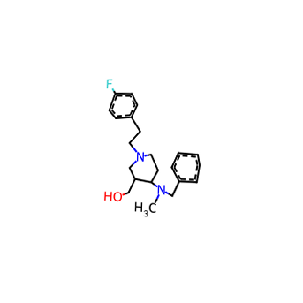 CN(Cc1ccccc1)C1CCN(CCc2ccc(F)cc2)CC1CO